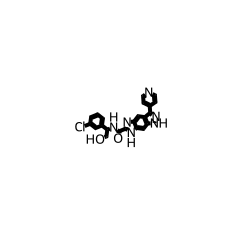 O=C(NC(CO)c1cccc(Cl)c1)c1nc2cc3c(-c4ccncc4)n[nH]c3cc2[nH]1